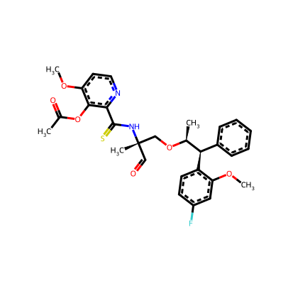 COc1cc(F)ccc1[C@H](c1ccccc1)[C@H](C)OC[C@](C)(C=O)NC(=S)c1nccc(OC)c1OC(C)=O